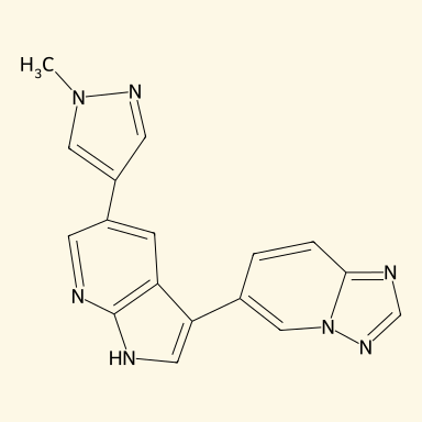 Cn1cc(-c2cnc3[nH]cc(-c4ccc5ncnn5c4)c3c2)cn1